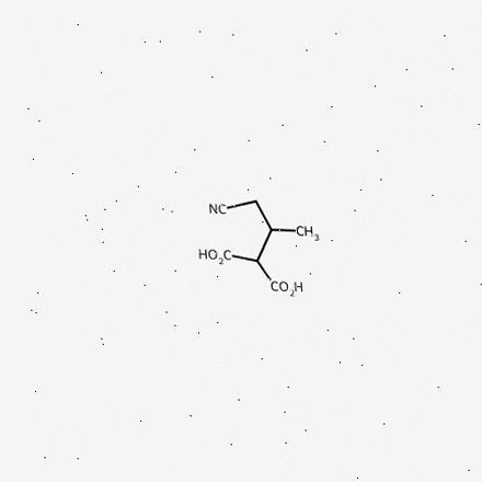 CC(CC#N)C(C(=O)O)C(=O)O